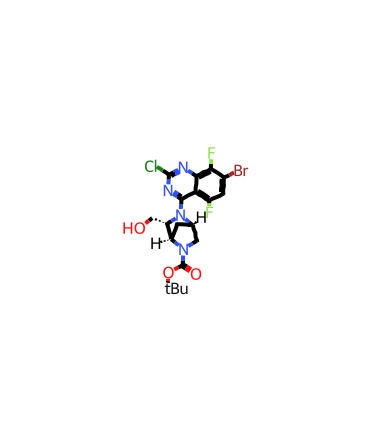 CC(C)(C)OC(=O)N1C[C@H]2C[C@@H]1[C@H](CO)N2c1nc(Cl)nc2c(F)c(Br)cc(F)c12